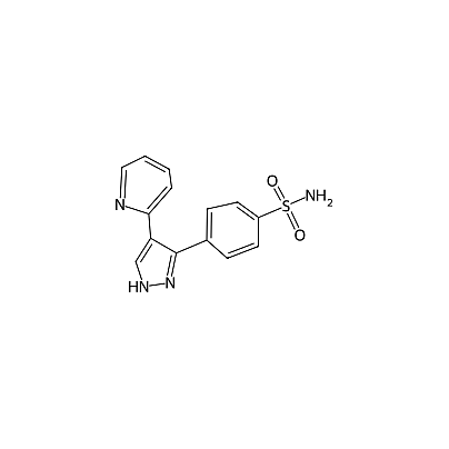 NS(=O)(=O)c1ccc(-c2n[nH]cc2-c2ccccn2)cc1